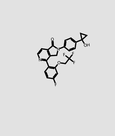 O=C1c2ccnc(-c3ccc(F)cc3OCC(F)(F)F)c2CN1c1ccc(C2(O)CC2)cc1